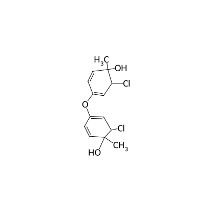 CC1(O)C=CC(OC2=CC(Cl)C(C)(O)C=C2)=CC1Cl